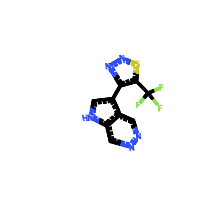 FC(F)(F)c1snnc1-c1c[nH]c2cnncc12